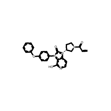 C=CC(=O)N1CC[C@@H](n2c(=O)n(-c3ccc(Oc4ccccc4)cc3)c3c(O)nccc32)C1